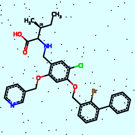 CC[C@H](C)C(NCc1cc(Cl)c(OCc2cccc(-c3ccccc3)c2Br)cc1OCc1cccnc1)C(=O)O